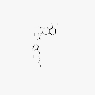 O=C(Cn1cc(CNCCCC(F)(F)F)nn1)NC1Cc2cccc(C(=O)O)c2OB1O